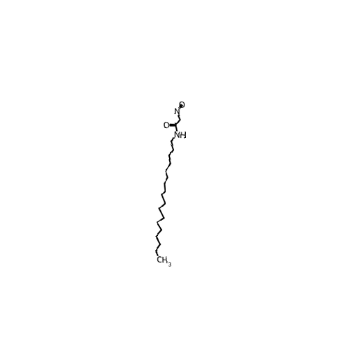 CCCCCCCCCCCCCCCCCCNC(=O)CN=O